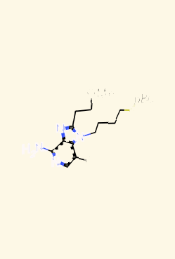 CCCCSCCCCn1c(CCOC)nc2c(N)ncc(C)c21